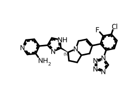 Nc1cnccc1-c1c[nH]c([C@@H]2CCC3CC(c4c(-n5cnnn5)ccc(Cl)c4F)=CCN32)n1